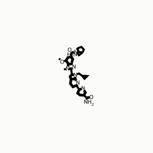 COc1cc(C(=O)N2CC3CCC2C3N)cc2nc(-c3cc4ccc(-c5ccc(C(N)=O)cn5)nc4n3CC3CC3)n(C)c12